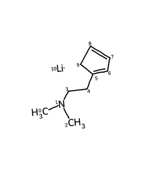 CN(C)CCC1=CC=CC1.[Li]